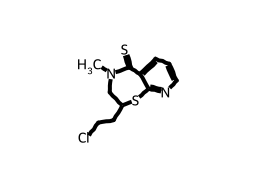 CN1CC(CCCl)Sc2ncccc2C1=S